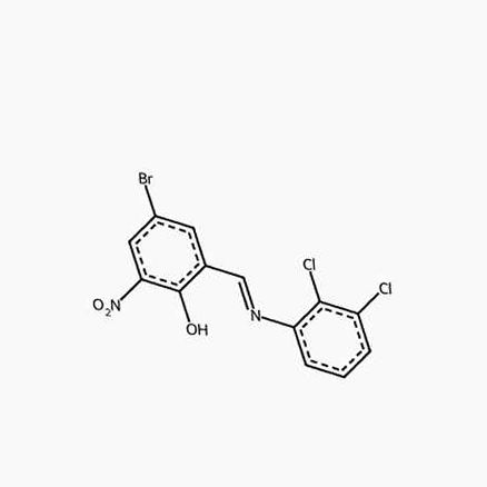 O=[N+]([O-])c1cc(Br)cc(/C=N/c2cccc(Cl)c2Cl)c1O